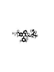 CON(C)C(=O)c1cn(CC(=O)N[C@@H](Cc2cc(F)cc(F)c2)c2ncccc2-c2ccc(F)c(C(N)=O)c2)nc1C(F)(F)F